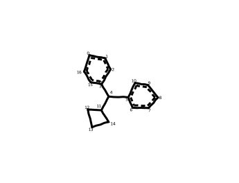 c1ccc(C(c2ccccc2)C2CCC2)cc1